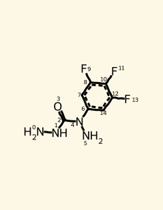 NNC(=O)N(N)c1cc(F)c(F)c(F)c1